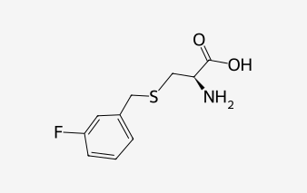 N[C@@H](CSCc1cccc(F)c1)C(=O)O